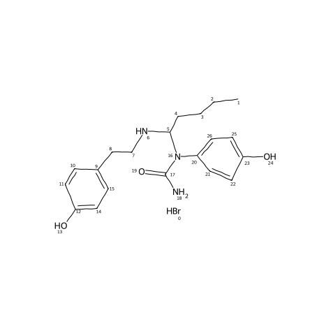 Br.CCCCC(NCCc1ccc(O)cc1)N(C(N)=O)c1ccc(O)cc1